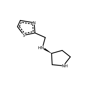 c1csc(CN[C@H]2CCNC2)n1